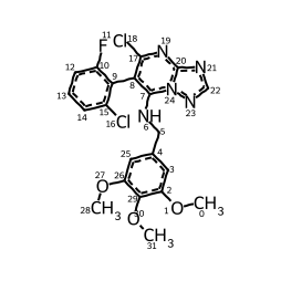 COc1cc(CNc2c(-c3c(F)cccc3Cl)c(Cl)nc3ncnn23)cc(OC)c1OC